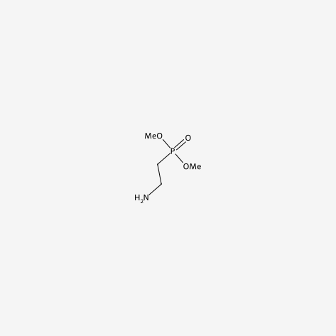 COP(=O)(CCN)OC